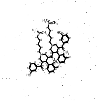 Cc1c(F)cccc1C1C(C(=O)c2cccc(O)c2)CN(CCCCCN(C)C)CC1C(=O)C1CN(CCCCCN(C)C)CC(C(=O)c2cccc(O)c2)C1c1cccc(F)c1C